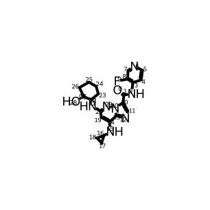 O=C(Nc1ccncc1F)c1cnc2c(NC3CC3)cc(N[C@@H]3CCCC[C@@H]3O)nn12